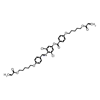 C=CC(=O)OCCCCCOc1ccc(/C=N/c2c(Cl)cc(OC(=O)c3ccc(OCCCCCOC(=O)C=C)cc3)cc2Cl)cc1